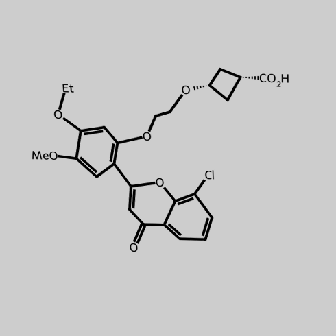 CCOc1cc(OCCO[C@H]2C[C@@H](C(=O)O)C2)c(-c2cc(=O)c3cccc(Cl)c3o2)cc1OC